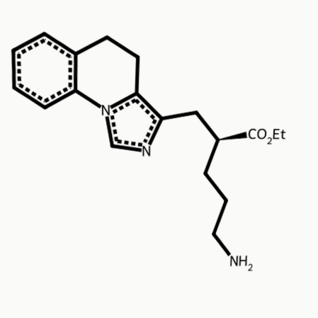 CCOC(=O)[C@@H](CCCN)Cc1ncn2c1CCc1ccccc1-2